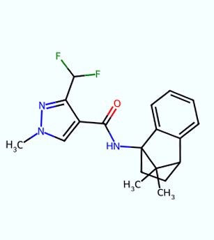 Cn1cc(C(=O)NC23CCC(c4ccccc42)C3(C)C)c(C(F)F)n1